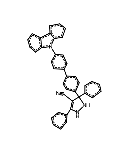 N#CC1=C(c2ccccc2)NNC1(c1ccccc1)c1ccc(-c2ccc(-n3c4ccccc4c4ccccc43)cc2)cc1